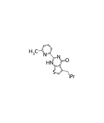 Cc1cccc(-c2nc(=O)c3c(CC(C)C)csc3[nH]2)n1